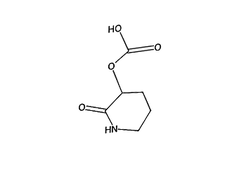 O=C(O)OC1CCCNC1=O